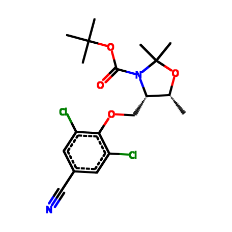 C[C@H]1OC(C)(C)N(C(=O)OC(C)(C)C)[C@H]1COc1c(Cl)cc(C#N)cc1Cl